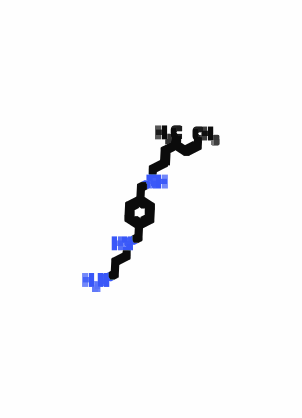 C=C(/C=C\C)/C=C/CNCc1ccc(CNCCCN)cc1